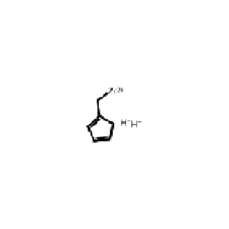 [H-].[H-].[Zr+2][CH2]C1=CC=CC1